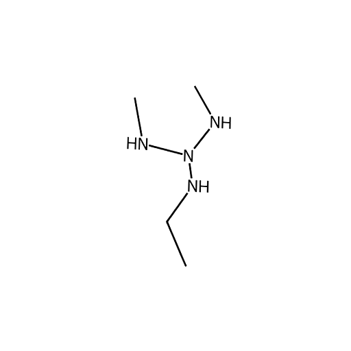 CCNN(NC)NC